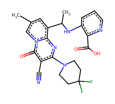 Cc1cc(C(C)Nc2cccnc2C(=O)O)c2nc(N3CCC(F)(F)CC3)c(C#N)c(=O)n2c1